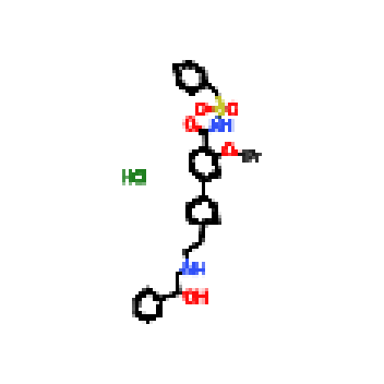 CC(C)Oc1cc(-c2ccc(CCNC[C@H](O)c3ccccc3)cc2)ccc1C(=O)NS(=O)(=O)Cc1ccccc1.Cl